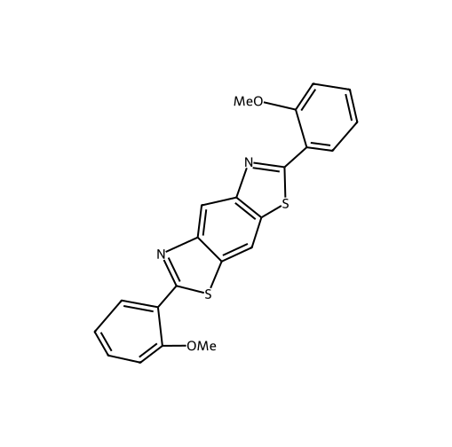 COc1ccccc1-c1nc2cc3nc(-c4ccccc4OC)sc3cc2s1